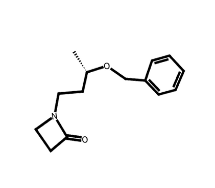 C[C@@H](CCN1CCC1=O)OCc1ccccc1